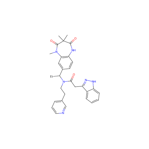 CCC(c1ccc2c(c1)N(C)C(=O)C(C)(C)C(=O)N2)N(CCc1cccnc1)C(=O)Cc1n[nH]c2ccccc12